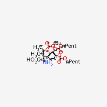 CCCCCOC(=O)Oc1ccc(C(C(C)C(C)OC(=O)OC(C)(C)C)[C@H](N)C(=O)O)cc1OC(=O)OCCCCC